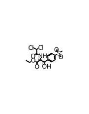 CCOC(=O)[C@@H](NC(=O)C(Cl)Cl)[C@H](O)c1ccc(S(C)(=O)=O)cc1